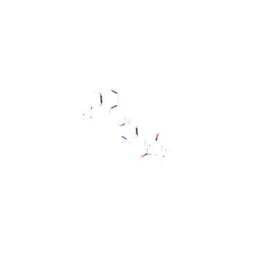 CC[C@H]1NC(=O)N(c2cnc(Oc3cccc4c3C3(CC3)CO4)cn2)C1=O